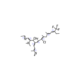 C=N/C(C)=C/C=C(\C=C\C(Cl)=C(/C)C/C(C)=C/C=C(\CC)C(F)(F)F)C(O)/C(=C/N=C/C)N(C)C